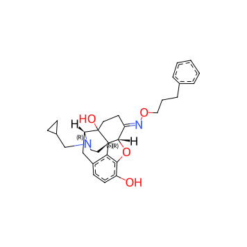 Oc1ccc2c3c1O[C@H]1C(=NOCCCc4ccccc4)CCC4(O)[C@@H](C2)N(CC2CC2)CC[C@]314